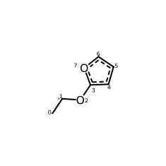 C[CH]Oc1ccco1